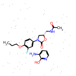 CCCOc1ccc(N2C[C@H](CNC(C)=O)OC2=O)cc1F.Nc1cccnc1O